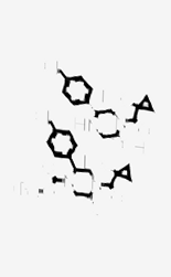 C[C@@H]1CN(C(=O)OC(C)(C)C)C(c2ccc(Cl)cc2)CN1C(=O)C1(C(F)(F)F)CC1.C[C@@H]1CN[C@@H](c2ccc(Cl)cc2)CN1C(=O)C1(C(F)(F)F)CC1